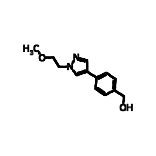 COCCn1cc(-c2ccc(CO)cc2)cn1